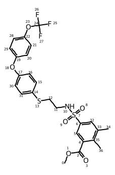 COC(=O)c1cc(S(=O)(=O)NCCSc2ccc(Oc3ccc(OC(F)(F)F)cc3)cc2)cc(C)c1C